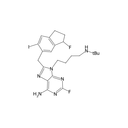 CC(C)(C)NCCCCn1c(Cc2cc3c(cc2I)CCC3F)nc2c(N)nc(F)nc21